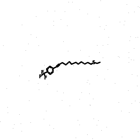 CCSCCCCCCCCCCC#Cc1ccc(C(F)(F)F)cc1